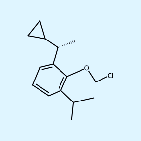 CC(C)c1cccc([C@@H](C)C2CC2)c1OCCl